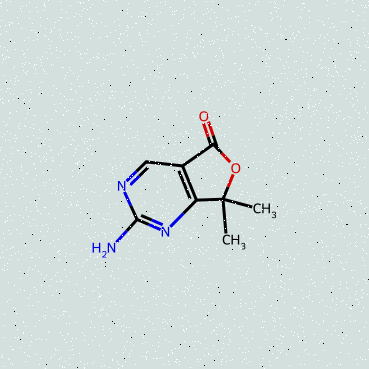 CC1(C)OC(=O)c2cnc(N)nc21